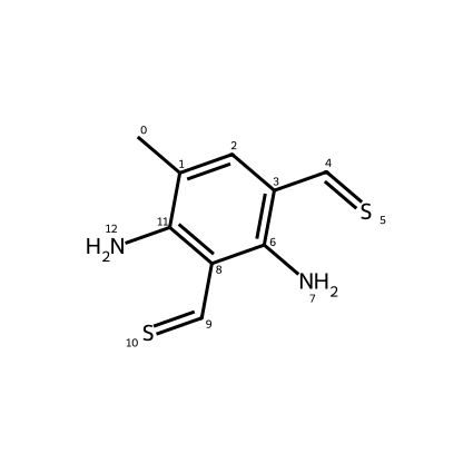 Cc1cc(C=S)c(N)c(C=S)c1N